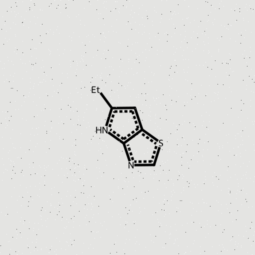 [CH2]Cc1cc2scnc2[nH]1